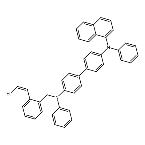 CC/C=C\c1ccccc1CN(c1ccccc1)c1ccc(-c2ccc(N(c3ccccc3)c3cccc4ccccc34)cc2)cc1